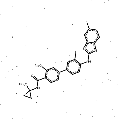 COc1cc(-c2ccc(Nc3nc4ccc(F)cc4s3)c(F)c2)ccc1C(=O)NC1(C(=O)O)CC1